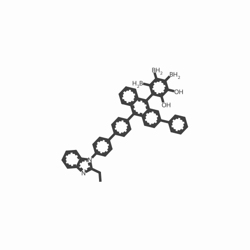 Bc1c(B)c(O)c(O)c(-c2c3ccccc3c(-c3ccc(-c4ccc(-n5c(CC)nc6ccccc65)cc4)cc3)c3ccc(-c4ccccc4)cc23)c1B